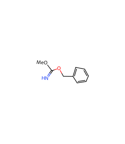 COC(=N)OCc1ccccc1